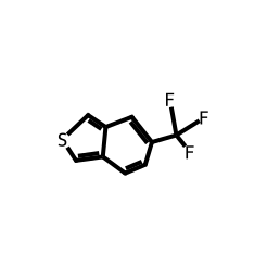 FC(F)(F)c1ccc2cscc2c1